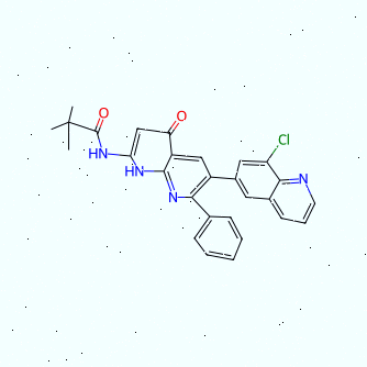 CC(C)(C)C(=O)Nc1cc(=O)c2cc(-c3cc(Cl)c4ncccc4c3)c(-c3ccccc3)nc2[nH]1